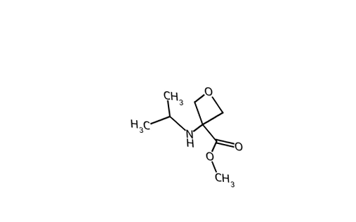 COC(=O)C1(NC(C)C)COC1